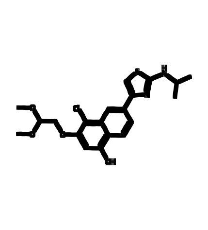 COC(COc1cc(O)c2ccc(-c3csc(NC(C)C)n3)cc2c1Cl)OC